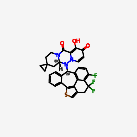 O=C1c2c(O)c(=O)ccn2N([C@@H]2c3ccccc3-c3scc4c3-c3c2ccc(F)c3C(F)(F)C4)[C@@H]2CC3(CCN12)CC3